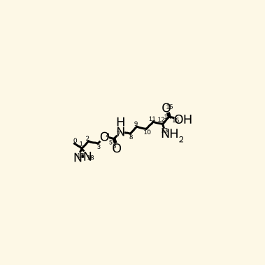 CC1(CCOC(=O)NCCCCC(N)C(=O)O)N=N1